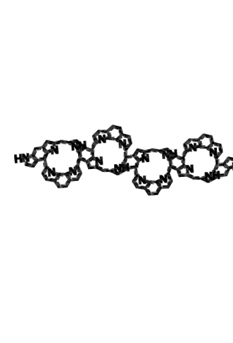 c1cc2c(cc3cc4cc5cc6c([nH]5)c(c5ccc7ccc8ccc(nc8c7n5)c2c3n4)c2cc3cc4cc5c([nH]4)c(c4ccc7ccc8ccc(nc8c7n4)c6c2n3)c2cc3cc4cc6c([nH]4)c(c4ccc7ccc8ccc(nc8c7n4)c5c2n3)c2cc3cc4cc5cc7[nH]ccc7c(c7ccc8ccc9ccc(nc9c8n7)c6c2n3)c5[nH]4)[nH]1